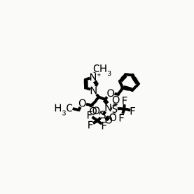 CCOC(=O)C(C(OCc1ccccc1)=[N+](S(=O)(=O)C(F)(F)F)S(=O)(=O)C(F)(F)F)n1cc[n+](C)c1